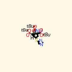 CC(C)(C)OC(=O)N[C@@]1(C(=O)OC(C)(C)C)C[C@@H](SC2=NCN=C2)[C@H]2[C@H](C(=O)OC(C)(C)C)[C@H]21